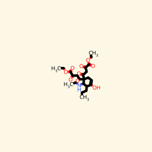 CCC[C]1[C](NCC)C(C(=O)CC(=O)C(=O)OCC)(C(=O)CC(=O)C(=O)OCC)CC=C1O